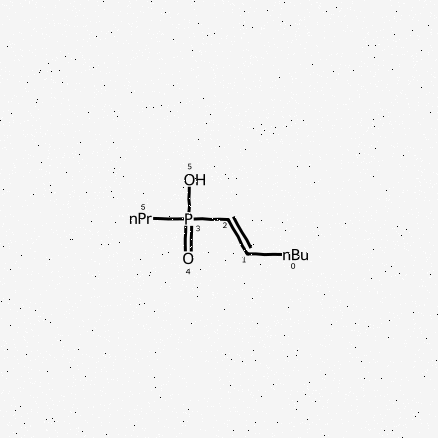 CCCCC=CP(=O)(O)CCC